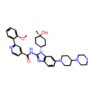 COc1ccccc1-c1cc(C(=O)Nc2nc3ccc(N4CCC(N5CCN(C)CC5)CC4)cc3n2[C@H]2CC[C@@](C)(O)CC2)ccn1